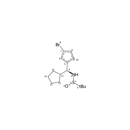 CC(C)(C)[S+]([O-])N[C@H](c1cc(Br)cs1)C1CCCC1